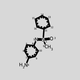 CS(=O)(=Nc1ccc(N)cc1)c1ccccc1